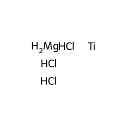 Cl.Cl.Cl.[MgH2].[Ti]